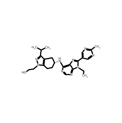 CCn1c(-c2cnc(C)nc2)nc2c(N[C@@H]3CCc4c(c(C(C)C)nn4CCO)C3)ncnc21